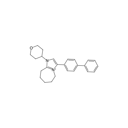 c1ccc(-c2ccc(-c3cn(C4CCOCC4)c4[n+]3CCCCC4)cc2)cc1